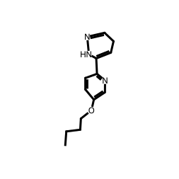 CCCCOc1ccc(C2=CCC=NN2)nc1